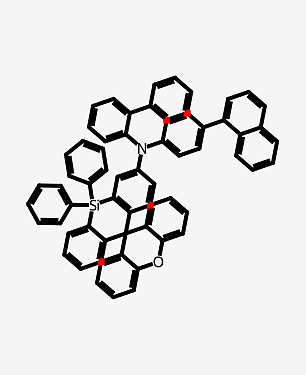 c1ccc(-c2ccccc2N(c2ccc(-c3cccc4ccccc34)cc2)c2ccc3c(c2)[Si](c2ccccc2)(c2ccccc2)c2ccccc2C32c3ccccc3Oc3ccccc32)cc1